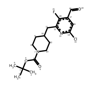 CC(C)(C)OC(=O)N1CCC(Cc2nc(Cl)cc(C=O)c2F)CC1